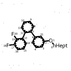 CCCCCCCOc1cccc(-c2ccccc2-c2cccc(F)c2F)c1